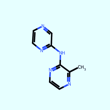 Cc1nccnc1Nc1cnccn1